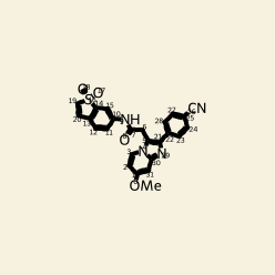 COc1ccn2c(CC(=O)Nc3ccc4c(c3)S(=O)(=O)C=C4)c(-c3ccc(C#N)cc3)nc2c1